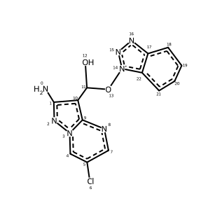 Nc1nn2cc(Cl)cnc2c1C(O)On1nnc2ccccc21